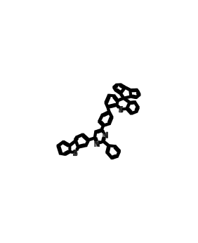 c1ccc(-c2nc(-c3ccc(-c4cccc5c4Sc4ccccc4C54c5ccccc5-c5ccccc54)cc3)cc(-c3ccc4c(c3)sc3ccccc34)n2)cc1